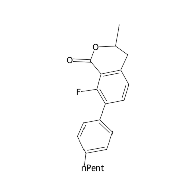 CCCCCc1ccc(-c2ccc3c(c2F)C(=O)OC(C)C3)cc1